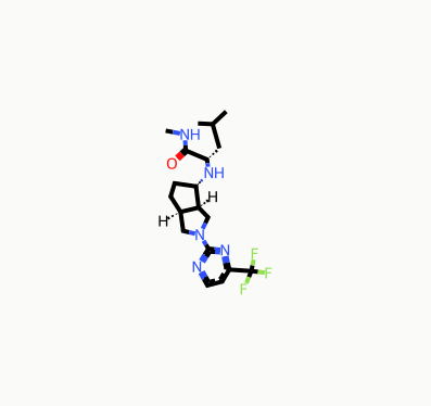 CNC(=O)[C@H](CC(C)C)N[C@H]1CC[C@@H]2CN(c3nccc(C(F)(F)F)n3)C[C@@H]21